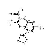 Cc1cc(N2CCCC2)c2cc(C)c(C(N)=O)cc2n1